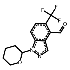 O=Cc1c(C(F)(F)F)ccc2c1cnn2C1CCCCO1